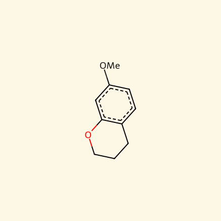 COc1ccc2c(c1)OCCC2